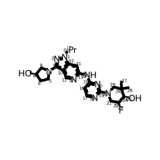 CC(C)n1nc(N2CC[C@@H](O)C2)c2cnc(Nc3ccnc(N4C[C@H](F)[C@H](O)C(C)(C)C4)n3)cc21